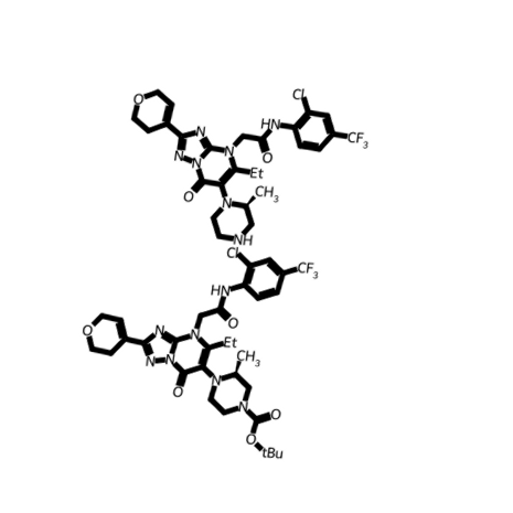 CCc1c(N2CCN(C(=O)OC(C)(C)C)C[C@@H]2C)c(=O)n2nc(C3=CCOCC3)nc2n1CC(=O)Nc1ccc(C(F)(F)F)cc1Cl.CCc1c(N2CCNC[C@@H]2C)c(=O)n2nc(C3=CCOCC3)nc2n1CC(=O)Nc1ccc(C(F)(F)F)cc1Cl